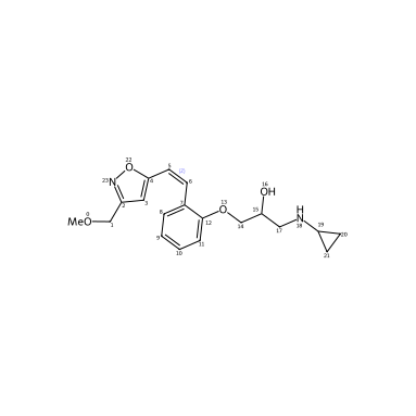 COCc1cc(/C=C\c2ccccc2OCC(O)CNC2CC2)on1